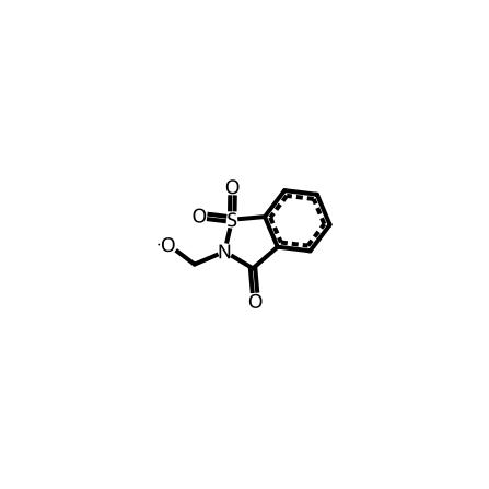 [O]CN1C(=O)c2ccccc2S1(=O)=O